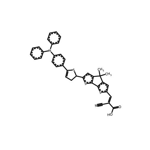 CC1(C)c2cc(/C=C(\C#N)C(=O)O)sc2-c2sc(C3CC=C(c4ccc(N(c5ccccc5)c5ccccc5)cc4)S3)cc21